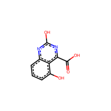 O=C(O)c1nc(O)nc2cccc(O)c12